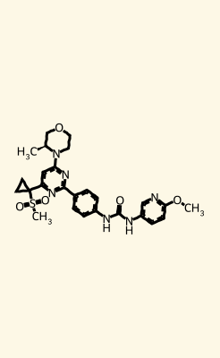 COc1ccc(NC(=O)Nc2ccc(-c3nc(N4CCOC[C@@H]4C)cc(C4(S(C)(=O)=O)CC4)n3)cc2)cn1